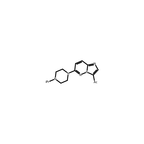 CC(=O)c1cnc2ccc(N3CCN(C(C)C)CC3)nn12